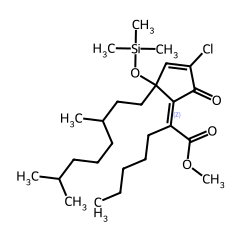 CCCCC/C(C(=O)OC)=C1/C(=O)C(Cl)=CC1(CCC(C)CCCC(C)C)O[Si](C)(C)C